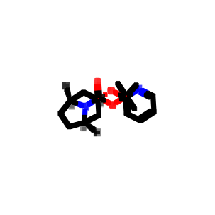 CC(C)(C)OC(=O)N1[C@@H]2CC[C@H]1C[C@@H](Oc1ccccn1)C2